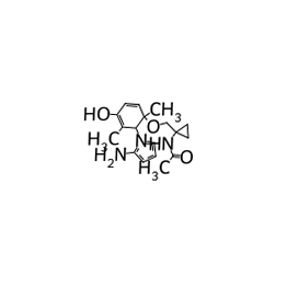 CC(=O)NC1(COC2(C)C=CC(O)=C(C)C2n2cccc2N)CC1